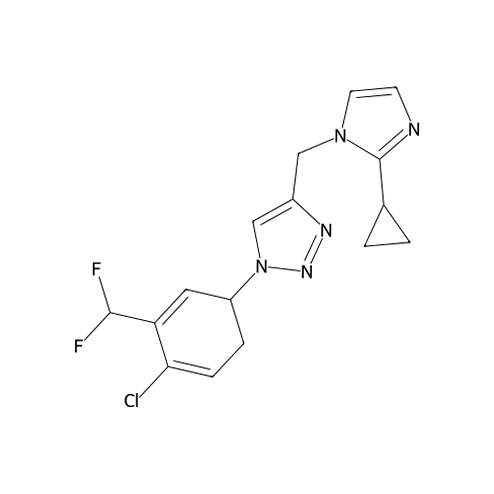 FC(F)C1=CC(n2cc(Cn3ccnc3C3CC3)nn2)CC=C1Cl